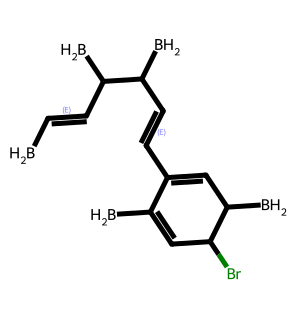 B/C=C/C(B)C(B)/C=C/C1=CC(B)C(Br)C=C1B